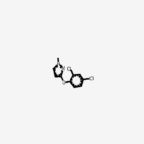 Cn1[c]cc(Oc2ccc(Cl)cc2Cl)n1